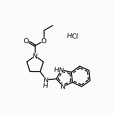 CCOC(=O)N1CCC(Nc2nc3ccccc3[nH]2)C1.Cl